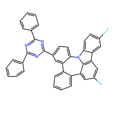 Fc1ccc2c(c1)c1cc(F)cc3c1n2-c1ccc(-c2nc(-c4ccccc4)nc(-c4ccccc4)n2)cc1-c1ccccc1-3